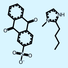 CCCCc1[nH]cc[n+]1C.O=C1c2ccccc2C(=O)c2cc(S(=O)(=O)[O-])ccc21